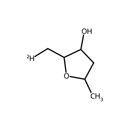 [2H]CC1OC(C)CC1O